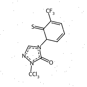 O=c1n(C2C=CC=C(C(F)(F)F)C2=S)cnn1C(Cl)(Cl)Cl